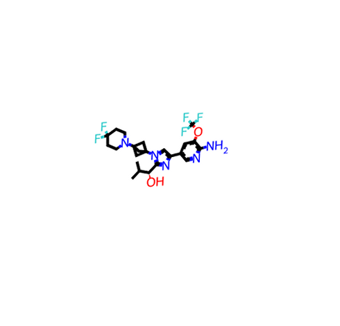 CC(C)[C@@H](O)c1nc(-c2cnc(N)c(OC(F)(F)F)c2)cn1C12CC(N3CCC(F)(F)CC3)(C1)C2